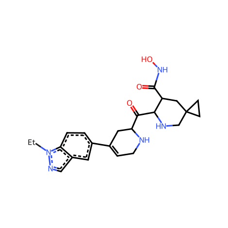 CCn1ncc2cc(C3=CCNC(C(=O)C4NCC5(CC5)CC4C(=O)NO)C3)ccc21